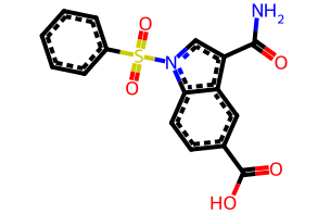 NC(=O)c1cn(S(=O)(=O)c2ccccc2)c2ccc(C(=O)O)cc12